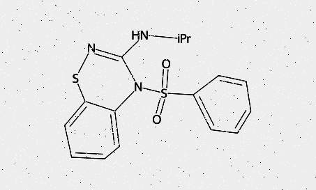 CC(C)NC1=NSc2ccccc2N1S(=O)(=O)c1ccccc1